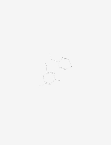 CC(Nc1nc(F)cc(F)n1)c1ccccc1